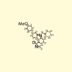 COc1ccc(-c2c[c]c3c4c(C(N)=O)cccc4n(CC4CCCCC4)c3c2)cc1